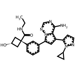 CCNC(=O)[C@]1(c2cccc(-c3cc(-c4ccnn4C4CC4)c4c(N)ncnn34)c2)C[C@H](O)C1